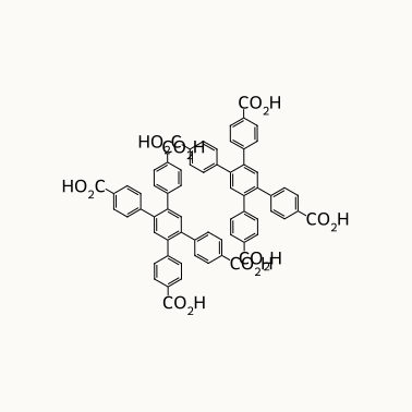 O=C(O)c1ccc(-c2cc(-c3ccc(C(=O)O)cc3)c(-c3ccc(C(=O)O)cc3)cc2-c2ccc(C(=O)O)cc2)cc1.O=C(O)c1ccc(-c2cc(-c3ccc(C(=O)O)cc3)c(-c3ccc(C(=O)O)cc3)cc2-c2ccc(C(=O)O)cc2)cc1